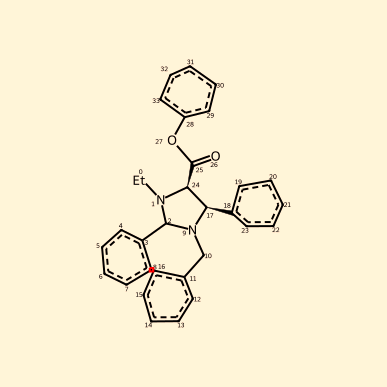 CCN1C(c2ccccc2)N(Cc2ccccc2)[C@H](c2ccccc2)[C@@H]1C(=O)Oc1ccccc1